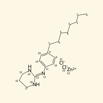 CCCCCCCCc1ccc(N=C2NCCCN2)cc1.[Cl-].[Cl-].[Zn+2]